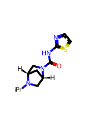 CC(C)N1C[C@@H]2C[C@H]1CN2C(=O)Nc1nccs1